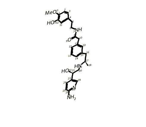 COc1ccc(CCNC(=O)Cc2cccc(C[C@@H](C)NC[C@H](O)c3ccc(N)nc3)c2)cc1O